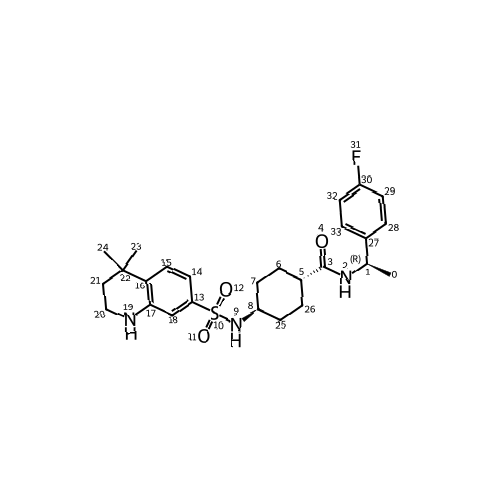 C[C@@H](NC(=O)[C@H]1CC[C@H](NS(=O)(=O)c2ccc3c(c2)NCCC3(C)C)CC1)c1ccc(F)cc1